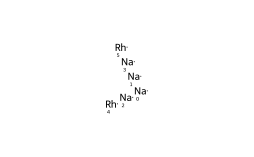 [Na].[Na].[Na].[Na].[Rh].[Rh]